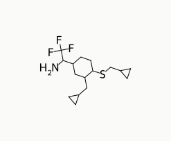 NC(C1CCC(SCC2CC2)C(CC2CC2)C1)C(F)(F)F